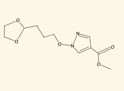 COC(=O)c1cnn(OCCCC2OCCO2)c1